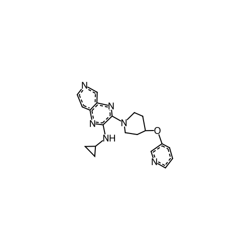 c1cncc(OC2CCN(c3nc4cnccc4nc3NC3CC3)CC2)c1